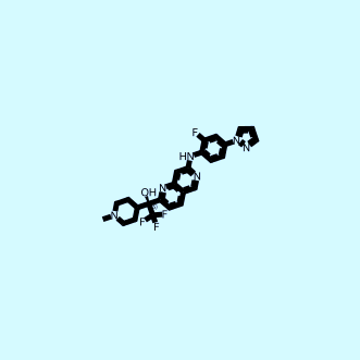 CN1CCC([C@](O)(c2ccc3cnc(Nc4ccc(-n5cccn5)cc4F)cc3n2)C(F)(F)F)CC1